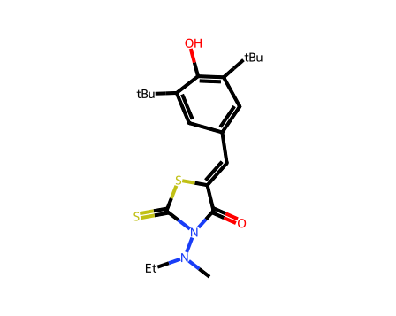 CCN(C)N1C(=O)C(=Cc2cc(C(C)(C)C)c(O)c(C(C)(C)C)c2)SC1=S